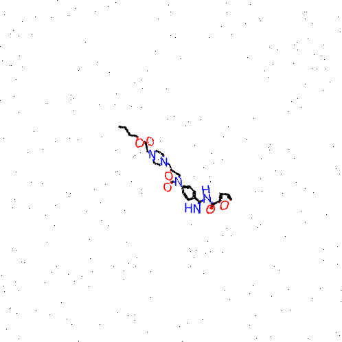 CCCCOC(=O)CN1CCN(CC2CN(c3ccc(C(=N)NC(=O)c4ccco4)cc3)C(=O)O2)CC1